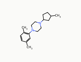 Cc1ccc(C)c(N2CCN(C3CCC(C)C3)CC2)c1